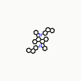 c1ccc2c(c1)ccc1cc(-n3c4ccccc4c4c5ccccc5c5c(c6ccccc6c6c7ccccc7n(-c7ccc8c(ccc9ccccc98)c7)c65)c43)ccc12